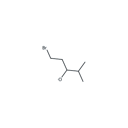 CC(C)C([O])CCBr